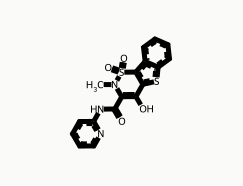 CN1C(C(=O)Nc2ccccn2)=C(O)c2sc3ccccc3c2S1(=O)=O